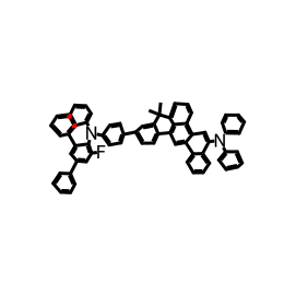 CC1(C)c2cc(-c3ccc(N(c4ccccc4)c4c(F)cc(-c5ccccc5)cc4-c4ccccc4)cc3)ccc2-c2cc3c4ccccc4c(N(c4ccccc4)c4ccccc4)cc3c3cccc1c23